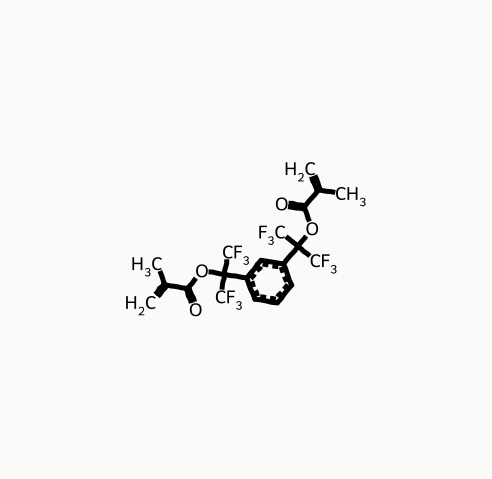 C=C(C)C(=O)OC(c1cccc(C(OC(=O)C(=C)C)(C(F)(F)F)C(F)(F)F)c1)(C(F)(F)F)C(F)(F)F